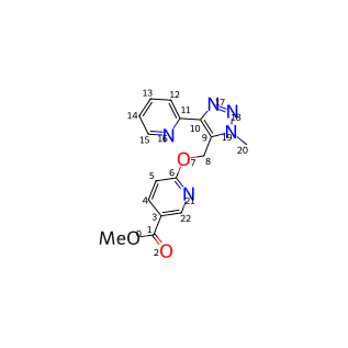 COC(=O)c1ccc(OCc2c(-c3ccccn3)nnn2C)nc1